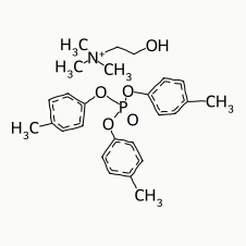 C[N+](C)(C)CCO.Cc1ccc(OP(=O)(Oc2ccc(C)cc2)Oc2ccc(C)cc2)cc1